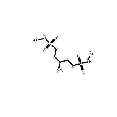 CNS(=O)(=O)CCN(C)CCS(=O)(=O)NC